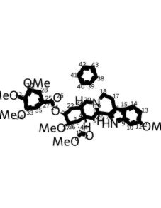 COC(=O)[C@H]1[C@H]2C[C@@H]3c4[nH]c5cc(OC)ccc5c4CCN3C[C@H]2C[C@@H](OC(=O)c2cc(OC)c(OC)c(OC)c2)[C@@H]1OC.c1ccccc1